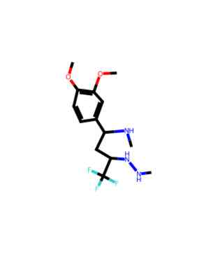 CNNC(CC(NC)c1ccc(OC)c(OC)c1)C(F)(F)F